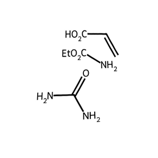 C=CC(=O)O.CCOC(N)=O.NC(N)=O